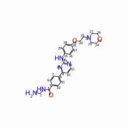 NCNC(=O)c1ccc(-c2ccnc(Nc3ccc(OCCN4CCOCC4)cc3)n2)cc1